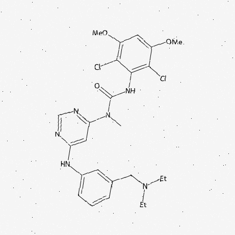 CCN(CC)Cc1cccc(Nc2cc(N(C)C(=O)Nc3c(Cl)c(OC)cc(OC)c3Cl)ncn2)c1